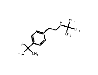 CC(C)(C)NCCc1ccc(C(C)(C)C)cc1